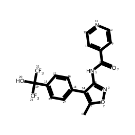 Cc1onc(NC(=O)c2ccncc2)c1-c1ccc(C(O)(C(F)(F)F)C(F)(F)F)cc1